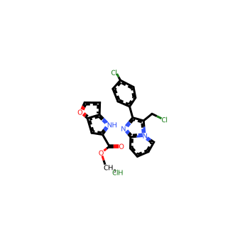 COC(=O)c1cc2occc2[nH]1.Cl.ClCc1c(-c2ccc(Cl)cc2)nc2ccccn12